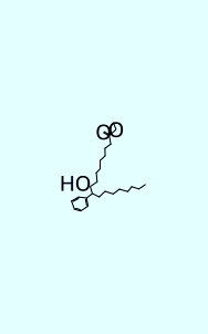 CCCCCCCCC(c1ccccc1)C(O)CCCCCCCC(=O)OC